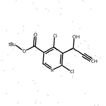 C#CC(O)c1c(Cl)ncc(C(=O)OC(C)(C)C)c1Cl